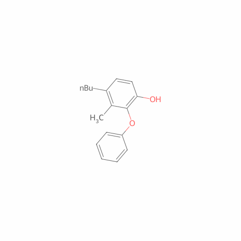 CCCCc1ccc(O)c(Oc2ccccc2)c1C